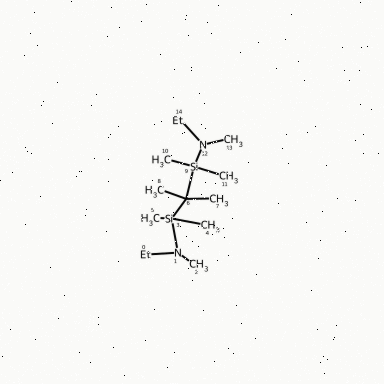 CCN(C)[Si](C)(C)C(C)(C)[Si](C)(C)N(C)CC